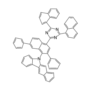 c1ccc(-c2ccc3c(-c4nc(-c5cccc6ccccc56)nc(-c5cccc6ccccc56)n4)cc(-c4ccccc4)c(-n4c5ccccc5c5cc6ccccc6cc54)c3c2)cc1